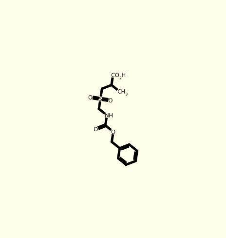 CC(CS(=O)(=O)CNC(=O)OCc1ccccc1)C(=O)O